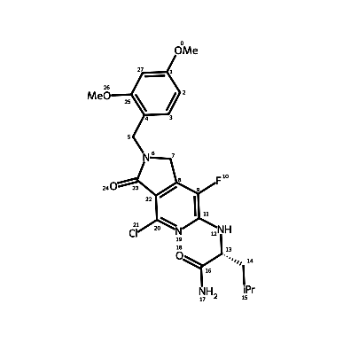 COc1ccc(CN2Cc3c(F)c(N[C@H](CC(C)C)C(N)=O)nc(Cl)c3C2=O)c(OC)c1